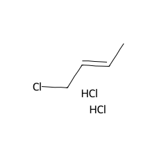 CC=CCCl.Cl.Cl